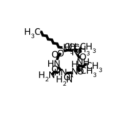 CCCCCCCCCC[C@H]1OC(=O)CNC(=O)[C@H](CCN)NC(=O)[C@H](CN)NC(=O)[C@H]([C@@H](C)CC)NC(=O)[C@H](CC(C)C)N(C)C(=O)[C@@H]1C